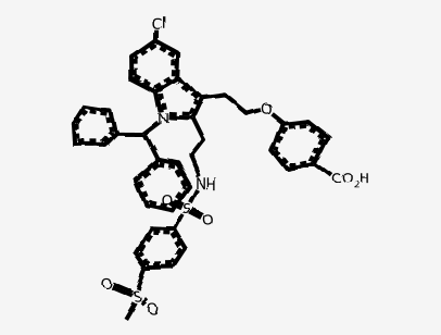 CS(=O)(=O)c1ccc(S(=O)(=O)NCCc2c(CCOc3ccc(C(=O)O)cc3)c3cc(Cl)ccc3n2C(c2ccccc2)c2ccccc2)cc1